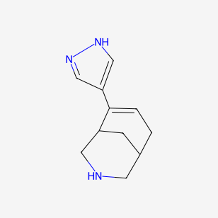 C1=C(c2cn[nH]c2)C2CNCC(C1)C2